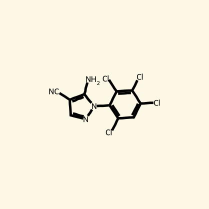 N#Cc1cnn(-c2c(Cl)cc(Cl)c(Cl)c2Cl)c1N